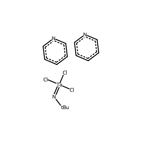 CC(C)(C)[N]=[Ta]([Cl])([Cl])[Cl].c1ccncc1.c1ccncc1